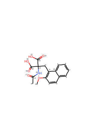 COc1ccc2ccccc2c1CC(NC(C)=O)(C(=O)O)C(=O)O